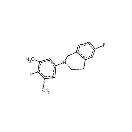 Cc1cc(N2CCc3cc(F)ccc3C2)cc(C)c1I